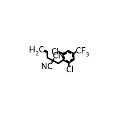 C=CCC(C#N)(C#N)Cc1c(Cl)cc(C(F)(F)F)cc1Cl